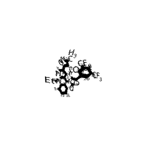 CCOC(=O)c1c(C)noc1-c1cnc(N(CC)C2CCCCC2)c(Cn2c(C)c(-c3cc(C(F)(F)F)cc(C(F)(F)F)c3)oc2=O)c1